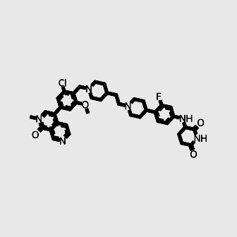 COc1cc(-c2cn(C)c(=O)c3cnccc23)cc(Cl)c1CN1CCC(CCN2CCC(c3ccc(NC4CCC(=O)NC4=O)cc3F)CC2)CC1